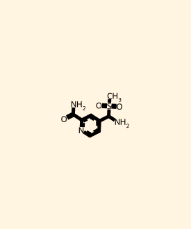 CS(=O)(=O)C(N)c1ccnc(C(N)=O)c1